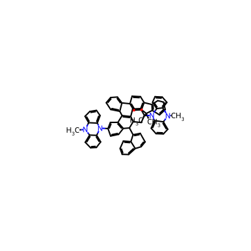 CN1c2ccccc2N(c2ccc3c(c2)C(c2ccccc2-c2ccc4c(c2)C(C)(C)C2=C4CCC=C2)=C2C=CC(N4c5ccccc5N(C)c5ccccc54)CC2C3c2cccc3ccccc23)c2ccccc21